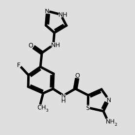 Cc1cc(F)c(C(=O)Nc2cn[nH]c2)cc1NC(=O)c1cnc(N)s1